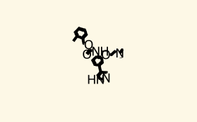 Cc1ccccc1COC(=O)Nc1ccc(-c2cn[nH]c2)cc1OCCN(C)C